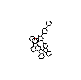 c1ccc(-c2ccc(-c3nc(-c4ccccc4)nc(-c4ccc5c(c4)C4(c6ccccc6-5)c5ccccc5-c5c4cc4c6c(cccc56)-c5ccccc5-4)n3)cc2)cc1